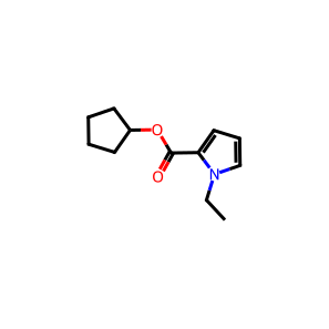 CCn1cccc1C(=O)OC1CCCC1